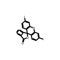 O=C1OC2(c3ccc(I)cc3Oc3cc(I)ccc32)c2ccccc21